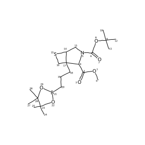 COC(=O)C1N(C(=O)OC(C)(C)C)CC2SCC21CCCB1OC(C)(C)C(C)(C)O1